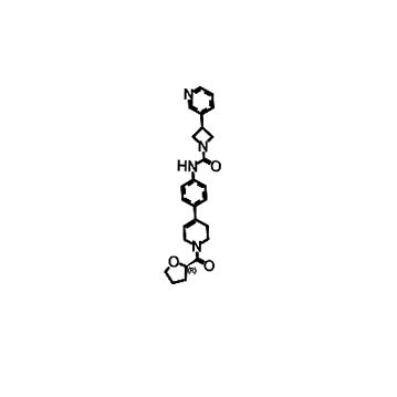 O=C(Nc1ccc(C2=CCN(C(=O)[C@H]3CCCO3)CC2)cc1)N1CC(c2cccnc2)C1